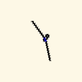 CCCCCCCCCCCCCCCCCCN1C=CN(CCCCCCCCCCCCCCCCC)C1Cc1ccccc1